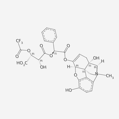 CN1CC[C@]23c4c5ccc(O)c4O[C@H]2C(OC(=O)[C@@H](OC(=O)[C@H](O)[C@@H](OC(=O)C(F)(F)F)C(=O)O)c2ccccc2)=CC[C@@]3(O)[C@H]1C5